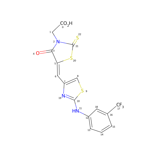 O=C(O)CN1C(=O)C(=Cc2csc(Nc3cccc(C(F)(F)F)c3)n2)SC1=S